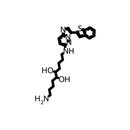 NCCCCC(O)C(O)CCCCNc1ccc2ncc(-c3cc4ccccc4s3)n2n1